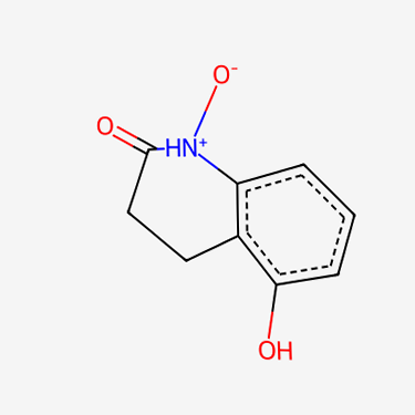 O=C1CCc2c(O)cccc2[NH+]1[O-]